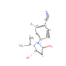 CC(C)[C@H]1[C@@H](O)CC(=O)N1c1ccc(C#N)c(Cl)c1